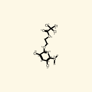 CCC(Cl)(Cl)C(=O)OCCOc1nc(N(C)C)c(Cl)cc1Cl